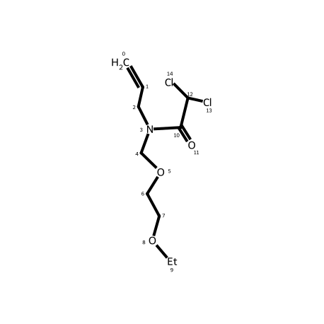 C=CCN(COCCOCC)C(=O)C(Cl)Cl